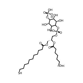 CCCCCCCCCCCCCCCC(=O)O[C@H](COC(=O)CCCCCCCCCCS)COP(=O)(O)OC1C(O)[C@@H](O)C(OP(=O)(O)O)[C@@H](O)[C@H]1O